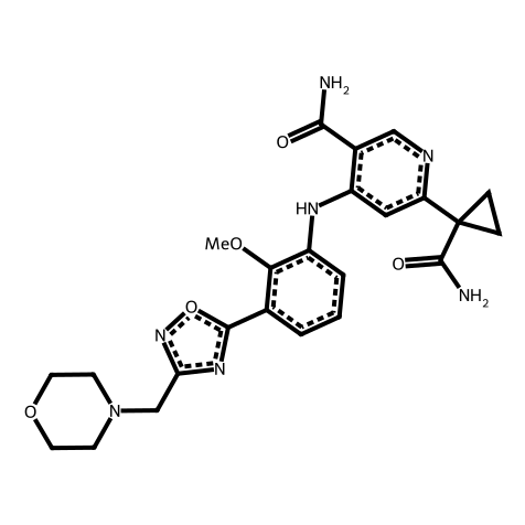 COc1c(Nc2cc(C3(C(N)=O)CC3)ncc2C(N)=O)cccc1-c1nc(CN2CCOCC2)no1